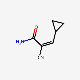 N#CC(=CC1CC1)C(N)=O